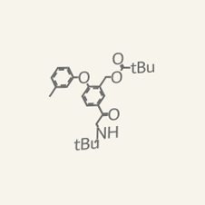 Cc1cccc(Oc2ccc(C(=O)CNC(C)(C)C)cc2COC(=O)C(C)(C)C)c1